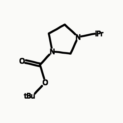 CC(C)N1CCN(C(=O)OC(C)(C)C)C1